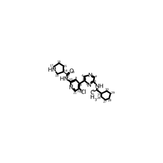 C[C@@H](Nc1cncc(-c2cc(NC(=O)[C@@H]3CCCNC3)ncc2Cl)n1)C1CCCCC1